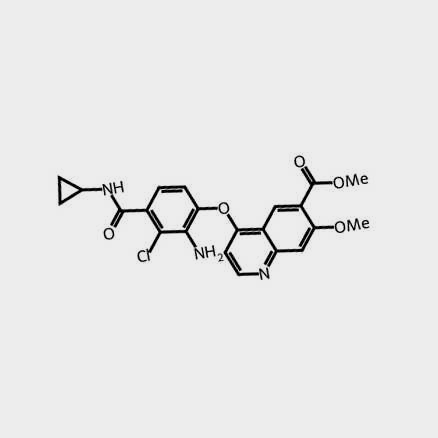 COC(=O)c1cc2c(Oc3ccc(C(=O)NC4CC4)c(Cl)c3N)ccnc2cc1OC